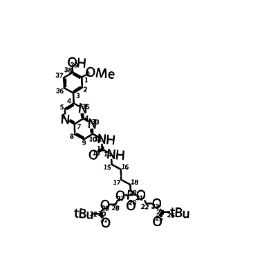 COc1cc(-c2cnc3ccc(NC(=O)NCCCCP(=O)(OCOC(=O)C(C)(C)C)OCOC(=O)C(C)(C)C)nc3n2)ccc1O